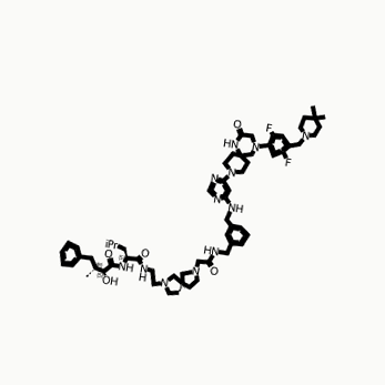 CC(C)C[C@H](NC(=O)[C@@H](O)[C@H](C)Cc1ccccc1)C(=O)NCCN1CC[C@]2(CCN(CC(=O)NCc3cccc(CNc4cc(N5CCC6(CC5)CN(c5cc(F)c(CN7CCC(C)(C)CC7)cc5F)CC(=O)N6)ncn4)c3)C2)C1